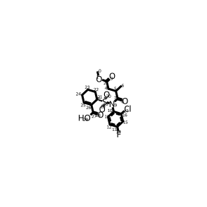 COC(=O)CC(C)C(=O)N(c1ccc(F)cc1Cl)S(=O)(=O)[C@@H]1CCCC=C1C(=O)O